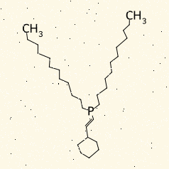 CCCCCCCCCCCCP(/C=C/C1CCCCC1)CCCCCCCCCCCC